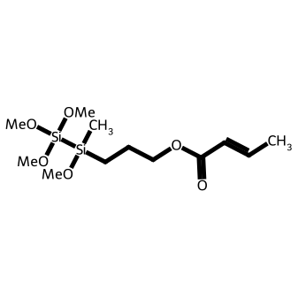 CC=CC(=O)OCCC[Si](C)(OC)[Si](OC)(OC)OC